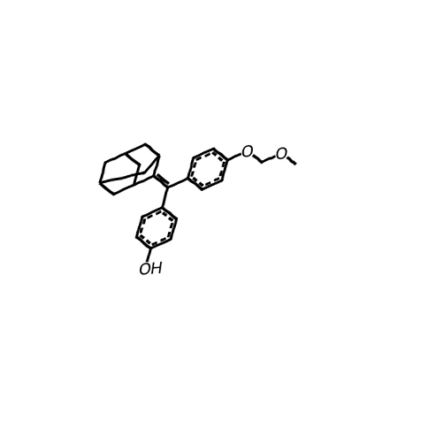 COCOc1ccc(C(=C2C3CC4CC(C3)CC2C4)c2ccc(O)cc2)cc1